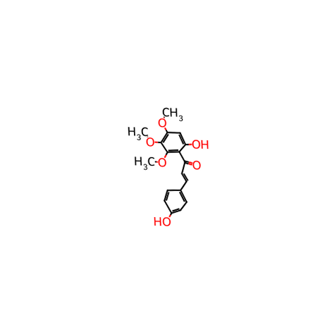 COc1cc(O)c(C(=O)C=Cc2ccc(O)cc2)c(OC)c1OC